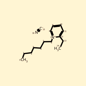 CCCCCCC[n+]1ccccc1CC.[C-]#N